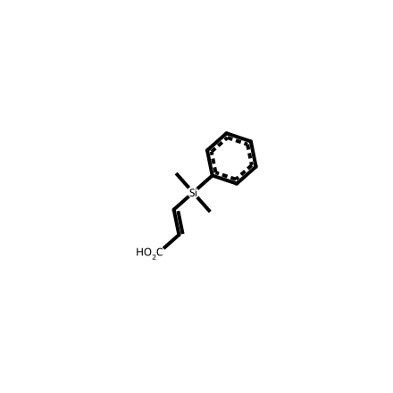 C[Si](C)(C=CC(=O)O)c1ccccc1